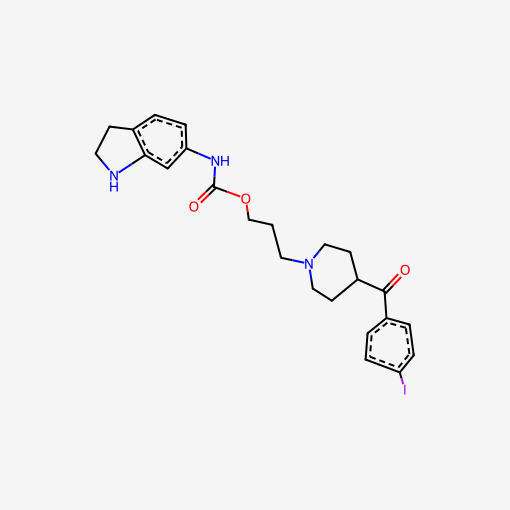 O=C(Nc1ccc2c(c1)NCC2)OCCCN1CCC(C(=O)c2ccc(I)cc2)CC1